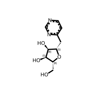 OC[C@H]1O[C@@H](Cc2ccncn2)[C@H](O)[C@@H]1O